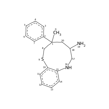 CC1(c2ccccc2)CSc2ccccc2NCC(N)C1